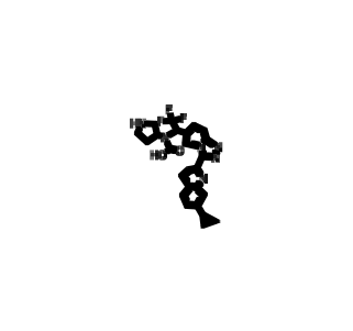 O=C(O)N(C1CCNC1)C(c1ccc2nnc(-c3ccc4ccc(C5CC5)cc4n3)n2c1)C(F)(F)F